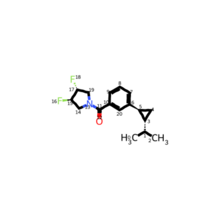 CC(C)[C@H]1C[C@@H]1c1cccc(C(=O)N2C[C@@H](F)[C@H](F)C2)c1